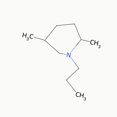 CCCN1CC(C)CCC1C